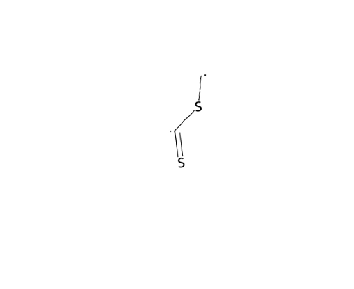 [CH2]S[C]=S